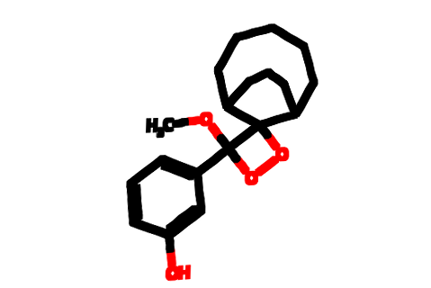 COC1(c2cccc(O)c2)OOC12C1CCCCCC2CCC1